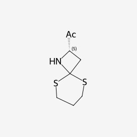 CC(=O)[C@@H]1CC2(N1)SCCCS2